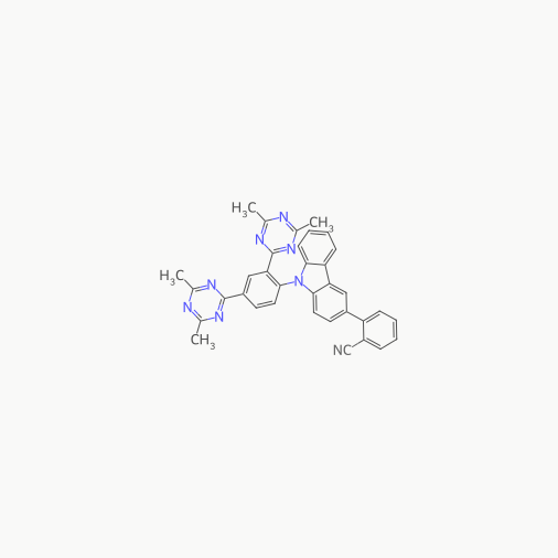 Cc1nc(C)nc(-c2ccc(-n3c4ccccc4c4cc(-c5ccccc5C#N)ccc43)c(-c3nc(C)nc(C)n3)c2)n1